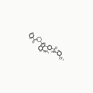 Nc1nccn2c([C@@H]3CCCN(C(=O)c4cnccn4)C3)nc(-c3ccc(C(=O)Nc4cc(C(F)(F)F)ccn4)cc3)c12